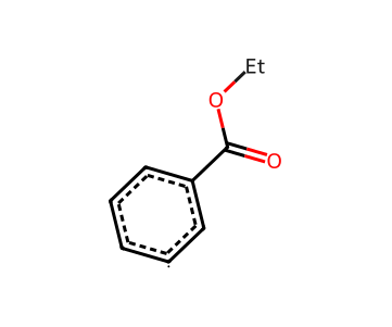 CCOC(=O)c1c[c]ccc1